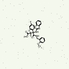 O=C(OF)C(F)(F)C(Nc1nc2ccccc2o1)(C(=O)NCc1ccccc1OC(F)(F)F)c1ccc(F)cc1